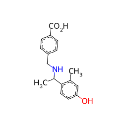 Cc1cc(O)ccc1C(C)NCc1ccc(C(=O)O)cc1